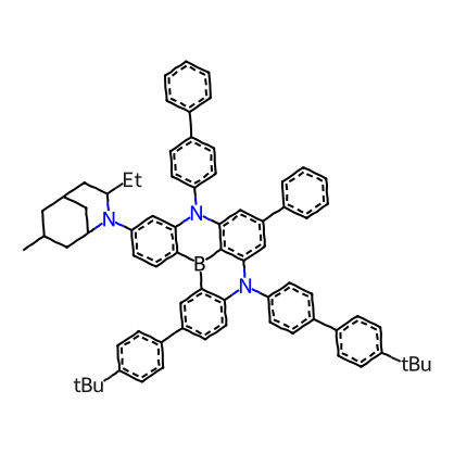 CCC1CC2CC(C)CC(C2)N1c1ccc2c(c1)N(c1ccc(-c3ccccc3)cc1)c1cc(-c3ccccc3)cc3c1B2c1cc(-c2ccc(C(C)(C)C)cc2)ccc1N3c1ccc(-c2ccc(C(C)(C)C)cc2)cc1